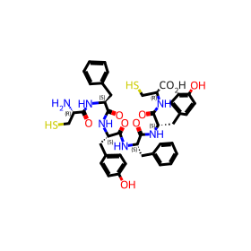 N[C@@H](CS)C(=O)N[C@@H](Cc1ccccc1)C(=O)N[C@@H](Cc1ccc(O)cc1)C(=O)N[C@@H](Cc1ccccc1)C(=O)N[C@@H](Cc1ccc(O)cc1)C(=O)N[C@@H](CS)C(=O)O